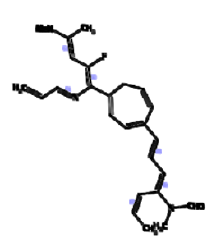 C=C/C=N/C(C1=CC=C(/C=C/C=C(\C=C/C)N(C)C=O)C=CC1)=C(F)\C=C(/C)NC